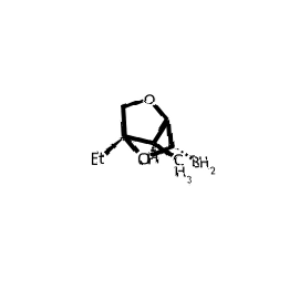 B[C@@H]1O[C@]2(CC)COC1[C@H]2C